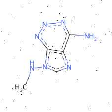 CNn1cnc2c(N)nnnc21